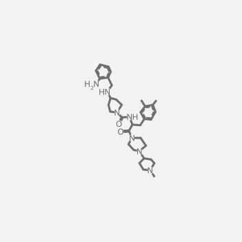 Cc1ccc(CC(NC(=O)N2CCC(NCc3ccccc3N)CC2)C(=O)N2CCN(C3CCN(C)CC3)CC2)cc1C